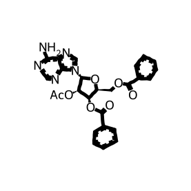 CC(=O)O[C@H]1[C@H](OC(=O)c2ccccc2)[C@H](COC(=O)c2ccccc2)O[C@@H]1n1cnc2c(N)ncnc21